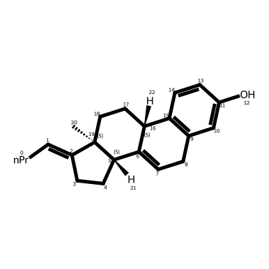 CCCC=C1CC[C@H]2C3=CCc4cc(O)ccc4[C@H]3CC[C@]12C